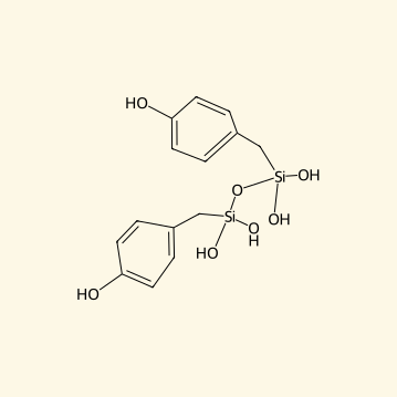 Oc1ccc(C[Si](O)(O)O[Si](O)(O)Cc2ccc(O)cc2)cc1